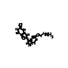 NCCOc1ccc2ncc(-c3cc4cc(Cl)ccc4o3)n2n1